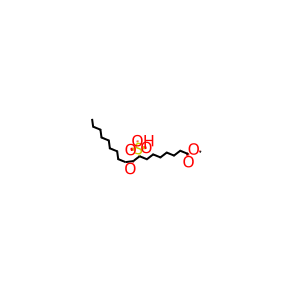 CCCCCCCCC1OC1C(CCCCCCC(=O)OC)S(=O)(=O)O